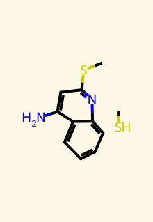 CS.CSc1cc(N)c2ccccc2n1